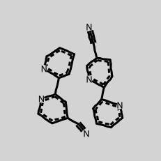 N#Cc1ccc(-c2ccccn2)nc1.N#Cc1ccnc(-c2ccccn2)c1